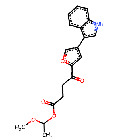 COC(C)OC(=O)CCC(=O)c1cc(-c2c[nH]c3ccccc23)co1